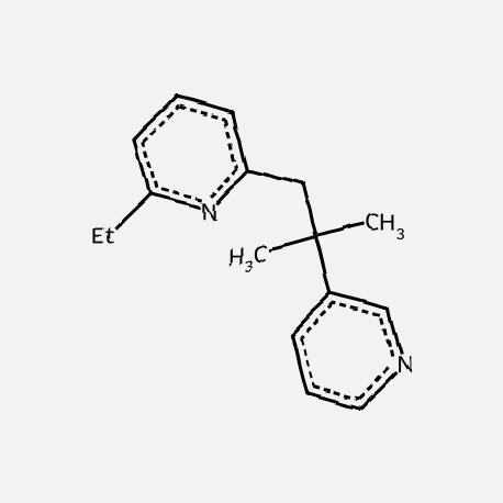 CCc1cccc(CC(C)(C)c2cccnc2)n1